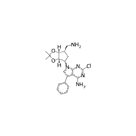 CC1(C)O[C@@H]2[C@@H](CN)C[C@@H](n3cc(-c4ccccc4)c4c(N)nc(Cl)nc43)[C@@H]2O1